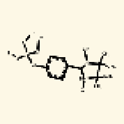 CCO[Si](OCC)(OCC)Oc1ccc(C2N(O)C(C)(C)C(C)(C)[NH+]2[O-])cc1